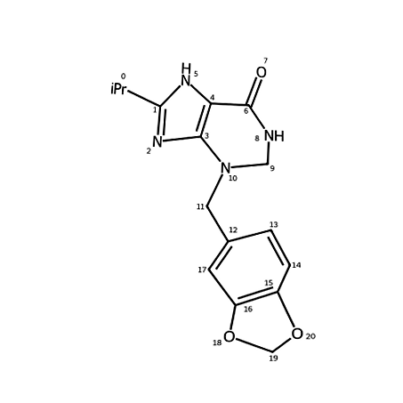 CC(C)c1nc2c([nH]1)C(=O)NCN2Cc1ccc2c(c1)OCO2